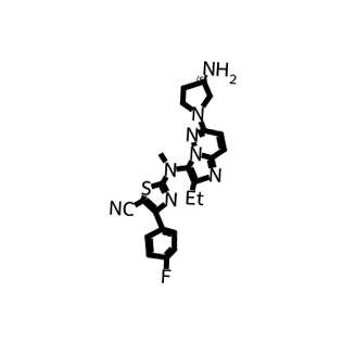 CCc1nc2ccc(N3CC[C@H](N)C3)nn2c1N(C)c1nc(-c2ccc(F)cc2)c(C#N)s1